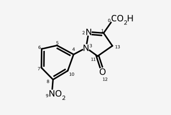 O=C(O)C1=NN(c2cccc([N+](=O)[O-])c2)C(=O)C1